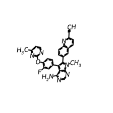 C#Cc1ccc2cc(-c3c(-c4ccc(Oc5nccc(C)n5)c(F)c4)c4c(N)ncnc4n3C)ccc2n1